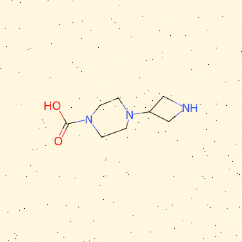 O=C(O)N1CCN(C2CNC2)CC1